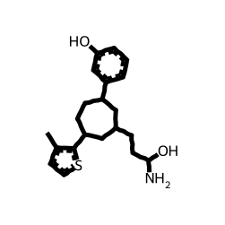 Cc1ccsc1C1CCC(c2cccc(O)c2)CC(CCC(N)O)C1